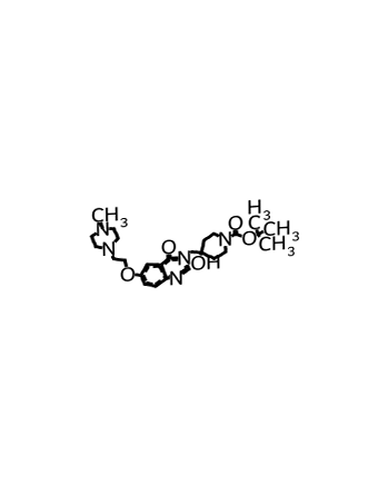 CN1CCN(CCOc2ccc3ncn(CC4(O)CCN(C(=O)OC(C)(C)C)CC4)c(=O)c3c2)CC1